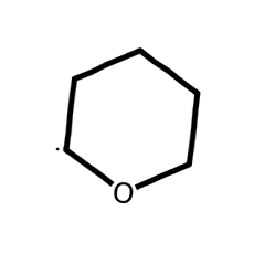 [CH]1CCCCO1